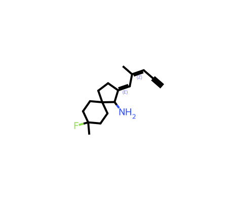 C#C/C=C(C)\C=C1/CCC2(CCC(C)(F)CC2)C1N